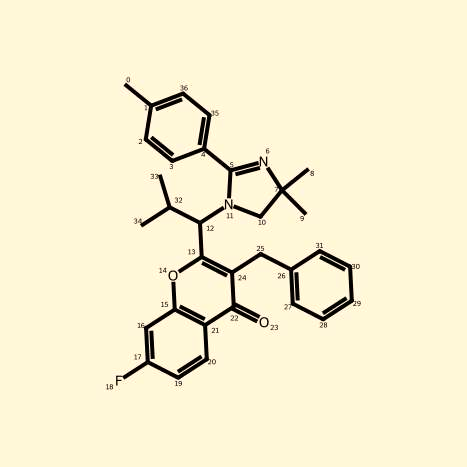 Cc1ccc(C2=NC(C)(C)CN2C(c2oc3cc(F)ccc3c(=O)c2Cc2ccccc2)C(C)C)cc1